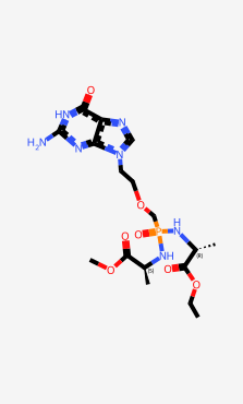 CCOC(=O)[C@@H](C)NP(=O)(COCCn1cnc2c(=O)[nH]c(N)nc21)N[C@@H](C)C(=O)OC